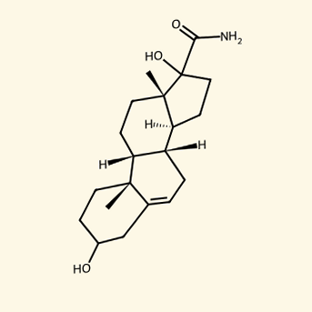 C[C@]12CCC(O)CC1=CC[C@@H]1[C@H]2CC[C@@]2(C)[C@H]1CCC2(O)C(N)=O